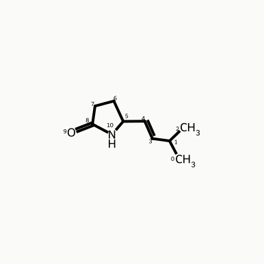 CC(C)/C=C/C1CCC(=O)N1